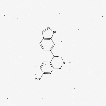 COc1ccc2c(c1)CN(C)CC2c1ccc2cn[nH]c2c1